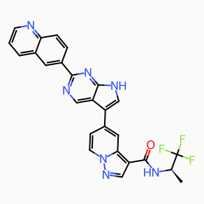 C[C@@H](NC(=O)c1cnn2ccc(-c3c[nH]c4nc(-c5ccc6ncccc6c5)ncc34)cc12)C(F)(F)F